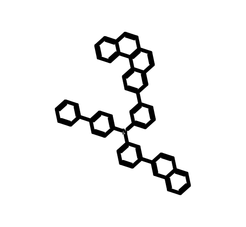 c1ccc(-c2ccc(N(c3cccc(-c4ccc5ccccc5c4)c3)c3cccc(-c4ccc5c(ccc6ccc7ccccc7c65)c4)c3)cc2)cc1